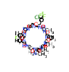 CC[C@H](C)[C@@H]1NC(=O)CCNC(=O)[C@H](Cc2ccc(F)cc2)N(C)C(=O)[C@H](C2CCCCC2)N(C)C(=O)C2(CCCC2)NC(=O)[C@@H]2CCCN2C(=O)[C@H](CCc2ccc(C(F)(F)F)c(Cl)c2)NC(=O)CN(C)C(=O)[C@H](CC2CCCCC2)N(C)C(=O)CN(C)C(=O)CN(C)C1=O